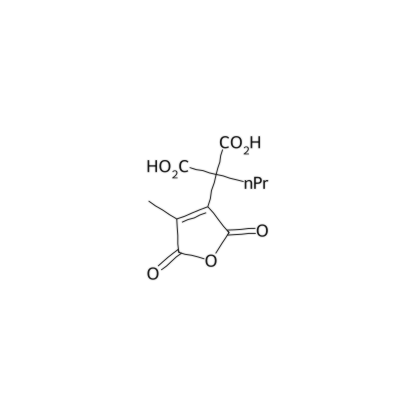 CCCC(C(=O)O)(C(=O)O)C1=C(C)C(=O)OC1=O